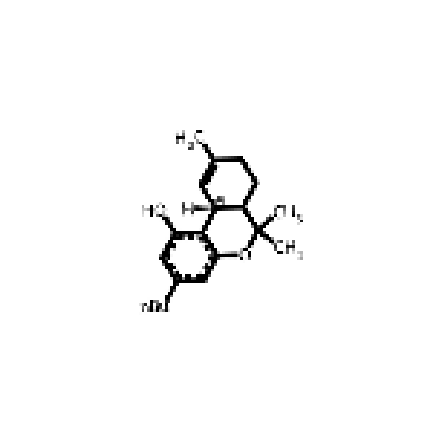 CCCCc1cc(O)c2c(c1)OC(C)(C)C1CCC(C)=C[C@@H]21